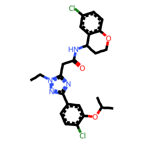 CCn1nc(-c2ccc(Cl)c(OC(C)C)c2)nc1CC(=O)NC1CCOc2ccc(Cl)cc21